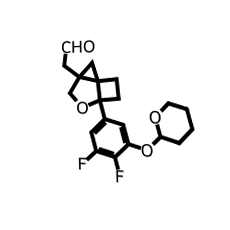 O=CCC12COC3(c4cc(F)c(F)c(OC5CCCCO5)c4)CCC13C2